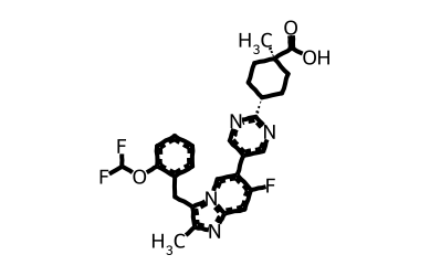 Cc1nc2cc(F)c(-c3cnc([C@H]4CC[C@](C)(C(=O)O)CC4)nc3)cn2c1Cc1ccccc1OC(F)F